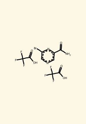 NC(=O)c1cncc(Br)n1.O=C(O)C(F)(F)F.O=C(O)C(F)(F)F